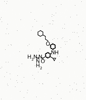 NC(N)=NC(=O)c1ccc(Nc2cccc(OCCCC3CCCCC3)c2)c(C2CC2)c1